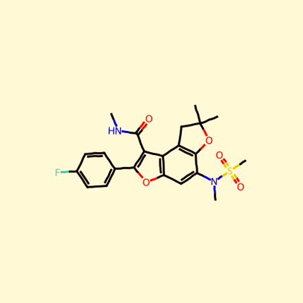 CNC(=O)c1c(-c2ccc(F)cc2)oc2cc(N(C)S(C)(=O)=O)c3c(c12)CC(C)(C)O3